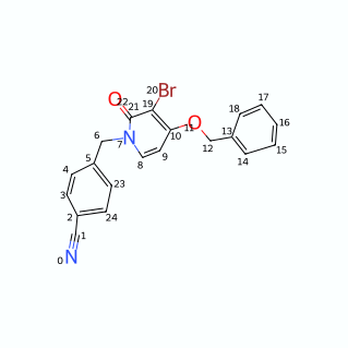 N#Cc1ccc(Cn2ccc(OCc3ccccc3)c(Br)c2=O)cc1